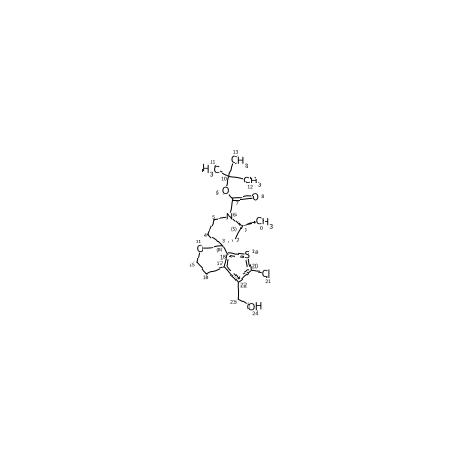 C[C@H]1C[C@@]2(CCN1C(=O)OC(C)(C)C)OCCc1c2sc(Cl)c1CO